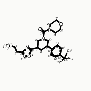 CCCc1noc(C2CC(c3ccc(C(F)(F)F)cc3)CN(C(=O)N3CCOCC3)C2)n1